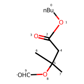 CCCCOC(=O)CC(C)(C)O[C]=O